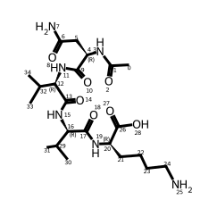 CC(=O)N[C@H](CC(N)=O)C(=O)N[C@@H](C(=O)N[C@@H](C(=O)N[C@H](CCCCN)C(=O)O)C(C)C)C(C)C